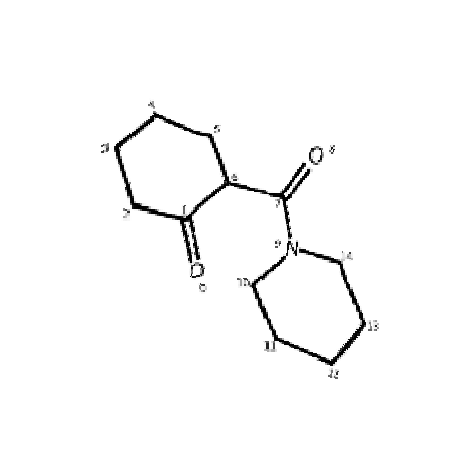 O=C1CCCCC1C(=O)N1CCCCC1